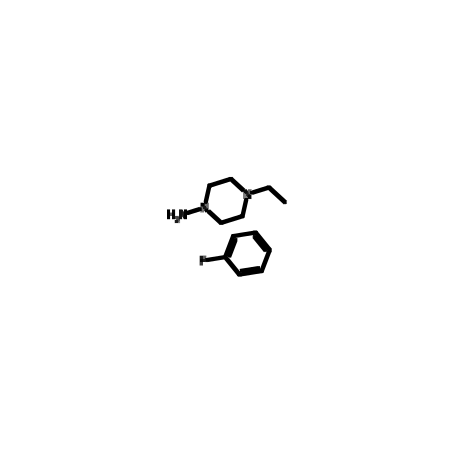 CCN1CCN(N)CC1.Fc1ccccc1